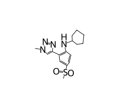 Cn1cc(-c2cc(S(C)(=O)=O)ccc2NC2CCCCC2)nn1